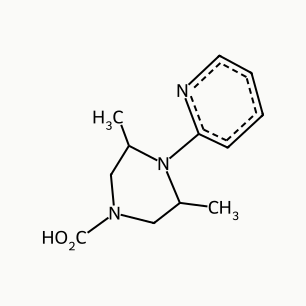 CC1CN(C(=O)O)CC(C)N1c1ccccn1